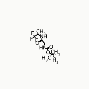 CC(NC(=O)CNC(=O)OC(C)(C)C)C(F)(F)F